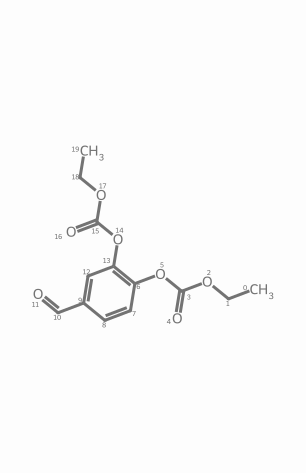 CCOC(=O)Oc1ccc(C=O)cc1OC(=O)OCC